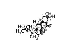 C[C@H](CCC(C)(C)O)C1CC[C@H]2[C@@H]3CC(F)=C4C[C@@](C)(O)CC[C@]4(C)[C@H]3CC[C@]12C